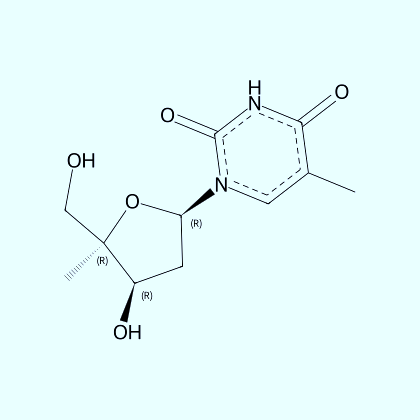 Cc1cn([C@H]2C[C@@H](O)[C@@](C)(CO)O2)c(=O)[nH]c1=O